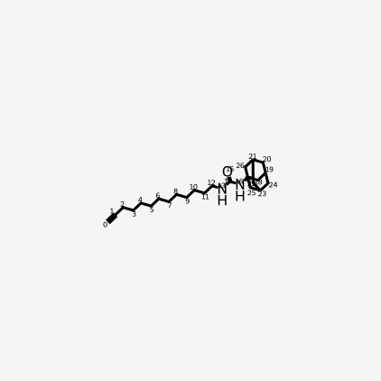 C#CCCCCCCCCCCCNC(=O)NC12CC3CC(CC(C3)C1)C2